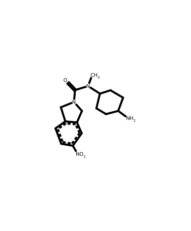 CN(C(=O)N1Cc2ccc([N+](=O)[O-])cc2C1)C1CCC(N)CC1